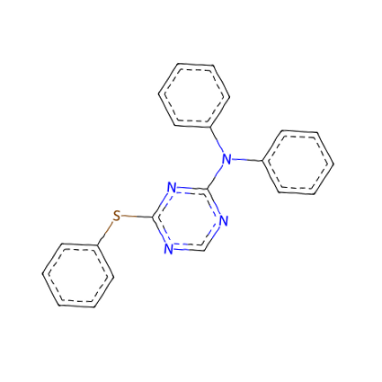 c1ccc(Sc2ncnc(N(c3ccccc3)c3ccccc3)n2)cc1